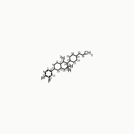 [2H]C1C2CCC(c3ccc(F)c(F)c3)CC2CC([2H])([2H])C1C1CCC(CCC)CC1